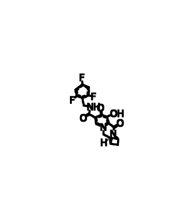 O=C(NCc1c(F)cc(F)cc1F)c1cn2c(c(O)c1=O)C(=O)N1C3CC(C3)[C@H]1C2